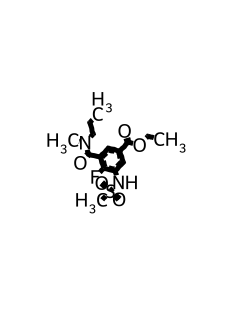 CCCN(C)C(=O)c1cc(C(=O)OCC)cc(NS(C)(=O)=O)c1F